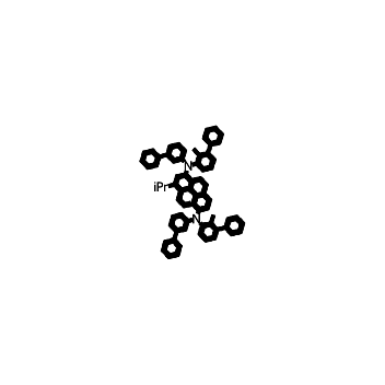 Cc1c(-c2ccccc2)cccc1N(c1cccc(-c2ccccc2)c1)c1ccc2ccc3c(N(c4cccc(-c5ccccc5)c4)c4cccc(-c5ccccc5)c4C)cc(C(C)C)c4ccc1c2c43